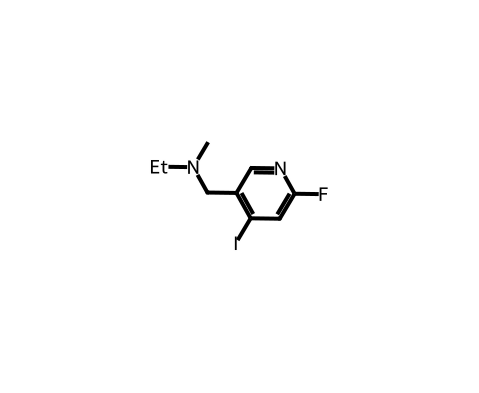 CCN(C)Cc1cnc(F)cc1I